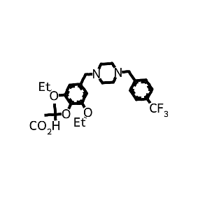 CCOc1cc(CN2CCN(Cc3ccc(C(F)(F)F)cc3)CC2)cc(OCC)c1OC(C)(C)C(=O)O